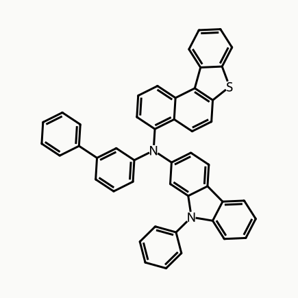 c1ccc(-c2cccc(N(c3ccc4c5ccccc5n(-c5ccccc5)c4c3)c3cccc4c3ccc3sc5ccccc5c34)c2)cc1